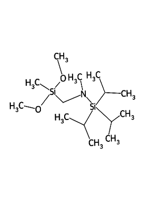 CO[Si](C)(CN(C)[Si](C(C)C)(C(C)C)C(C)C)OC